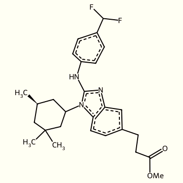 COC(=O)CCc1ccc2c(c1)nc(Nc1ccc(C(F)F)cc1)n2C1C[C@H](C)CC(C)(C)C1